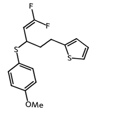 COc1ccc(SC(C=C(F)F)CCc2cccs2)cc1